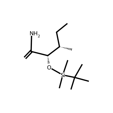 C=C(N)[C@@H](O[Si](C)(C)C(C)(C)C)[C@@H](C)CC